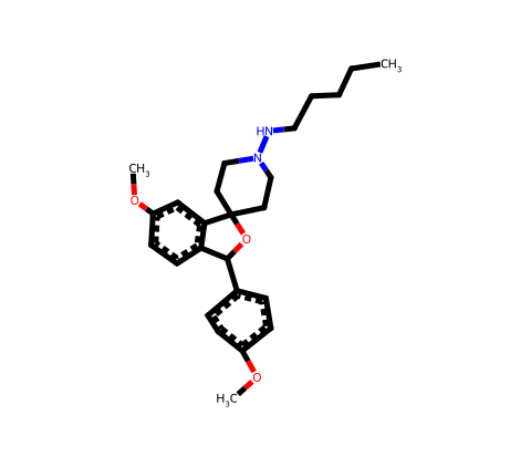 CCCCCNN1CCC2(CC1)OC(c1ccc(OC)cc1)c1ccc(OC)cc12